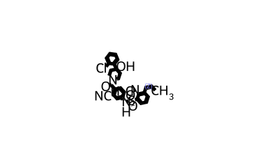 C=Nc1c(/C=C\C)cccc1S(=O)(=O)Nc1ccc(C(=O)N2CCC(O)(c3ccccc3Cl)CC2)c(C#N)c1